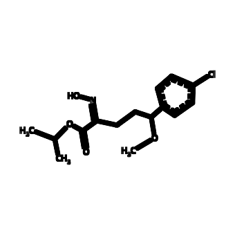 COC(CCC(=NO)C(=O)OC(C)C)c1ccc(Cl)cc1